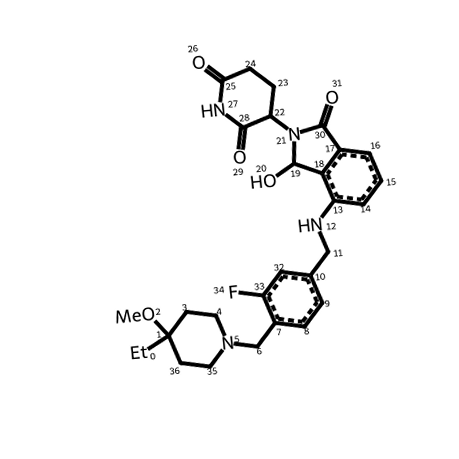 CCC1(OC)CCN(Cc2ccc(CNc3cccc4c3C(O)N(C3CCC(=O)NC3=O)C4=O)cc2F)CC1